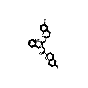 O=C(CN(Cc1ccccc1)C(O)C[C@H]1CCc2cc(F)ccc2O1)[C@H]1CCc2cc(F)ccc2O1